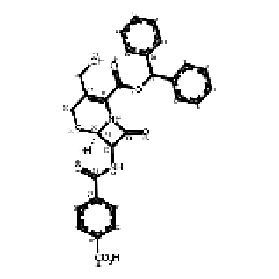 O=C(OC(c1ccccc1)c1ccccc1)C1=C(CO)CS[C@@H]2C(NC(=O)c3ccc(C(=O)O)cc3)C(=O)N12